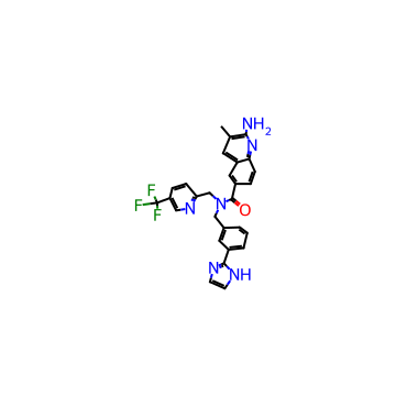 Cc1cc2cc(C(=O)N(Cc3cccc(-c4ncc[nH]4)c3)Cc3ccc(C(F)(F)F)cn3)ccc2nc1N